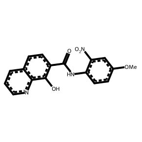 COc1ccc(NC(=O)c2ccc3cccnc3c2O)c([N+](=O)[O-])c1